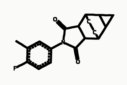 Cc1cc(N2C(=O)C3C4CCC(C5CC54)C3C2=O)ccc1F